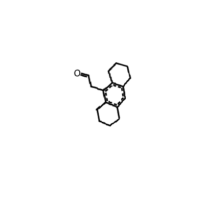 O=CCc1c2c(cc3c1CCCC3)CCCC2